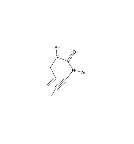 C=CCN(C(C)=O)C(=O)N(C#CC)C(C)=O